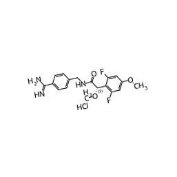 COc1cc(F)c([C@H](OC)C(=O)NCc2ccc(C(=N)N)cc2)c(F)c1.Cl